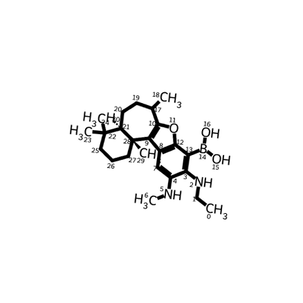 CCNc1c(NC)cc2c3c(oc2c1B(O)O)C(C)CC[C@@H]1C(C)(C)CCC[C@@]31C